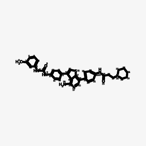 Cc1cccc(NC(=O)Nc2ccc(-c3csc4c(-c5ccc(NC(=O)CCN6CCCCC6)cc5)cnc(N)c34)cc2)c1